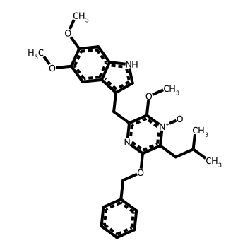 COc1cc2[nH]cc(Cc3nc(OCc4ccccc4)c(CC(C)C)[n+]([O-])c3OC)c2cc1OC